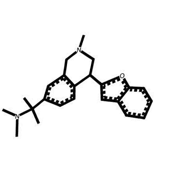 CN1Cc2cc(C(C)(C)N(C)C)ccc2C(c2cc3ccccc3o2)C1